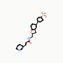 CS(=O)(=O)c1ccc(-c2ccc3c(c2)CC(CNC(=O)C=Cc2cccnc2)O3)cc1